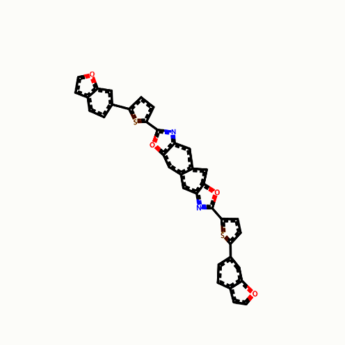 c1cc2ccc(-c3ccc(-c4nc5cc6cc7oc(-c8ccc(-c9ccc%10ccoc%10c9)s8)nc7cc6cc5o4)s3)cc2o1